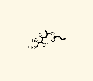 CCCC(=O)OC(C)CC(=O)C(O)C(O)CO